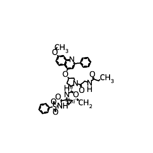 C=C[C@@H]1C[C@]1(NC(=O)[C@@H]1CC(Oc2cc(-c3ccccc3)nc3cc(OC)ccc23)CN1C(=O)CNC(=O)CC)C(=O)NS(=O)(=O)c1ccccc1